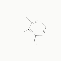 Cc1nccc(C=O)c1C(=O)O